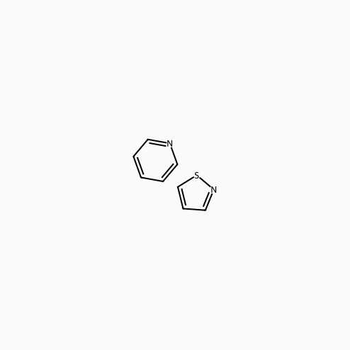 c1ccncc1.c1cnsc1